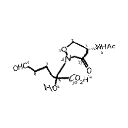 CC(=O)N[C@H]1CON(C(O)(CCC=O)C(=O)O)C1=O